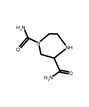 NC(=O)C1CN(C(N)=O)CCN1